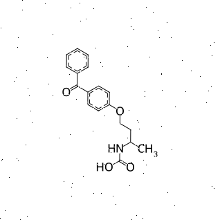 CC(CCOc1ccc(C(=O)c2ccccc2)cc1)NC(=O)O